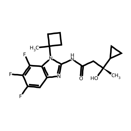 CC1(n2c(NC(=O)C[C@@](C)(O)C3CC3)nc3cc(F)c(F)c(F)c32)CCC1